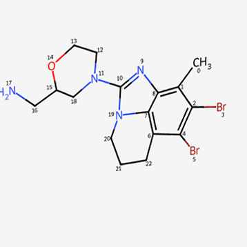 Cc1c(Br)c(Br)c2c3c1nc(N1CCOC(CN)C1)n3CCC2